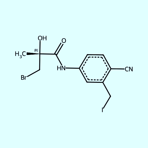 C[C@](O)(CBr)C(=O)Nc1ccc(C#N)c(CI)c1